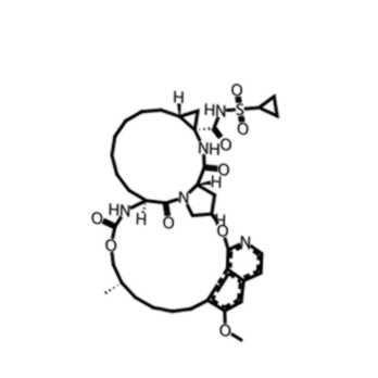 COc1cc2ccnc3c2cc1CCCC[C@H](C)COC(=O)N[C@H]1CCCCCCC[C@@H]2C[C@@]2(C(=O)NS(=O)(=O)C2CC2)NC(=O)[C@@H]2C[C@H](CN2C1=O)O3